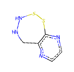 c1cnc2c(n1)CNNSS2